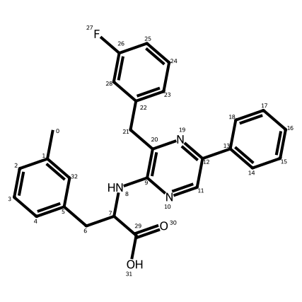 Cc1cccc(CC(Nc2ncc(-c3ccccc3)nc2Cc2cccc(F)c2)C(=O)O)c1